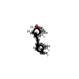 CO[C@H]1/C=C\C=C(/C)C(=O)NC2=CC(=O)C(NCCOC(=O)OCCNC3=C4C[C@@H](C)C[C@H](OC)[C@H](O)[C@@H](C)/C=C(\C)[C@H](OC(N)=O)[C@@H](OC)/C=C\C=C(/C)C(=O)NC(=CC3=O)C4=O)=C(C[C@@H](C)C[C@H](OC)[C@H](O)[C@@H](C)/C=C(\C)[C@@H]1OC(N)=O)C2=O